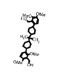 COc1ccc(C2CCC(C(C)(C)C3CCC(c4ccc(OC)c(OC)c4CO)CC3)CC2)c(OC)c1CO